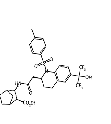 CCOC(=O)[C@H]1C2CCC(C2)[C@H]1NC(=O)C[C@@H]1CCc2cc(C(O)(C(F)(F)F)C(F)(F)F)ccc2N1S(=O)(=O)c1ccc(C)cc1